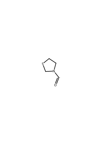 O=[C]N1CCSC1